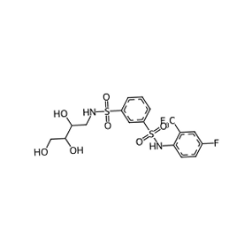 O=S(=O)(NCC(O)C(O)CO)c1cccc(S(=O)(=O)Nc2ccc(F)cc2C(F)(F)F)c1